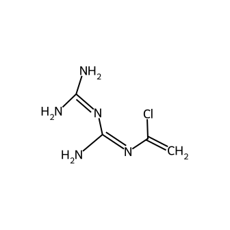 C=C(Cl)/N=C(/N)N=C(N)N